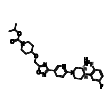 CC(C)OC(=O)N1CCC(OCc2nc(-c3ccc(N4CC[C@H](c5cc(F)ccc5F)[C@@H](N)C4)nc3)no2)CC1